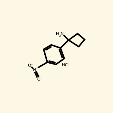 Cl.NC1(c2ccc([N+](=O)[O-])cc2)CCC1